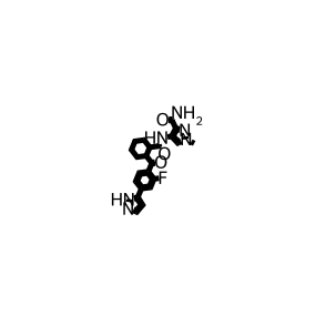 Cn1cc(NC(=O)C2CCCCC2C(=O)c2ccc(-c3ccn[nH]3)cc2F)c(C(N)=O)n1